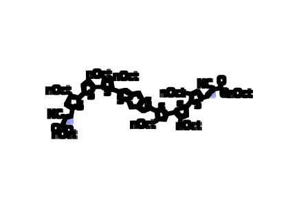 CCCCCCCCOC(=O)/C(C#N)=C/c1cc(CCCCCCCC)c(-c2cc(CCCCCCCC)c(-c3cc(CCCCCCCC)c(-c4cc5cc6sc(-c7sc(-c8sc(-c9sc(/C=C(\C#N)C(=O)OCCCCCCCC)cc9CCCCCCCC)cc8CCCCCCCC)cc7CCCCCCCC)cc6cc5s4)s3)s2)s1